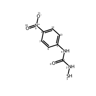 O=C(NS)Nc1ccc([N+](=O)[O-])cc1